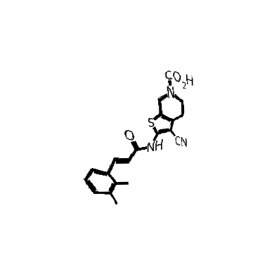 Cc1cccc(C=CC(=O)Nc2sc3c(c2C#N)CCN(C(=O)O)C3)c1C